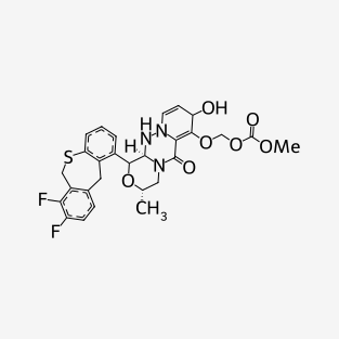 COC(=O)OCOC1=C2C(=O)N3C[C@H](C)OC(c4cccc5c4Cc4ccc(F)c(F)c4CS5)[C@H]3NN2C=CC1O